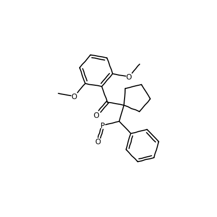 COc1cccc(OC)c1C(=O)C1(C(P=O)c2ccccc2)CCCC1